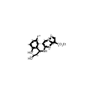 CCOC(=O)c1cnn2ccc(NC(CCO)c3cc(F)ccc3O)nc12